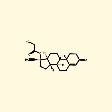 C#C[C@]1(OC(=O)CC#N)CC[C@H]2[C@@H]3CCC4=CC(=O)CC[C@@H]4[C@H]3CC[C@@]21CC